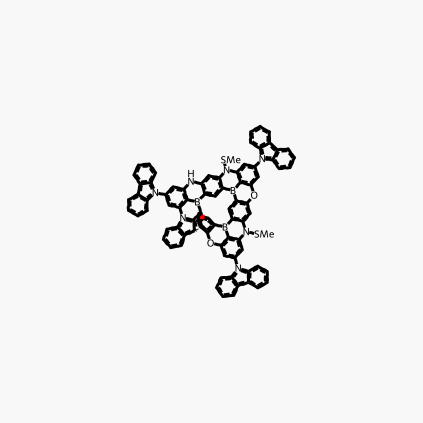 CSN1c2cc3c(cc2B2c4cc5c(cc4Oc4cc(-n6c7ccccc7c7ccccc76)cc1c42)N(SC)c1cc(-n2c4ccccc4c4ccccc42)cc2c1B5c1ccccc1O2)B1c2c(cc(-n4c5ccccc5c5ccccc54)cc2-n2c4ccccc4c4cccc1c42)N3